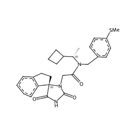 CSc1ccc(CN(C(=O)CN2C(=O)NC(=O)[C@@]23CCc2ccccc23)[C@@H](C)C2CCC2)cc1